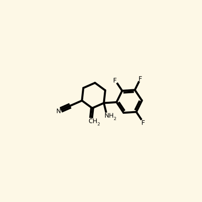 C=C1C(C#N)CCCC1(N)c1cc(F)cc(F)c1F